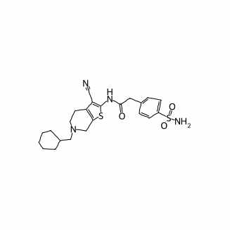 N#Cc1c(NC(=O)Cc2ccc(S(N)(=O)=O)cc2)sc2c1CCN(CC1CCCCC1)C2